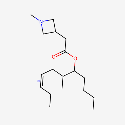 CC/C=C\CC(C)C(CCCC)OC(=O)CC1CN(C)C1